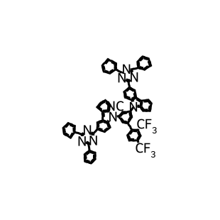 N#Cc1c(-n2c3ccccc3c3cc(-c4nc(-c5ccccc5)nc(-c5ccccc5)n4)ccc32)cc(-c2ccc(C(F)(F)F)cc2C(F)(F)F)cc1-n1c2ccccc2c2cc(-c3nc(-c4ccccc4)nc(-c4ccccc4)n3)ccc21